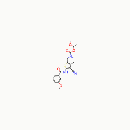 COc1cccc(C(=O)Nc2sc3c(c2C#N)CCN(C(=O)OC(C)OC)C3)c1